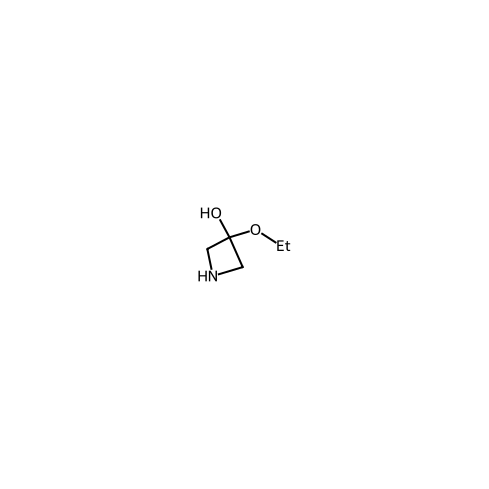 CCOC1(O)CNC1